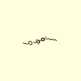 CCCCCCCOc1ccc(-c2cnc(CC[C@H]3CC[C@H](CCCC)CC3)nc2)cc1